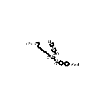 CCCCC/C=C\C/C=C\CCCCCCCC(=O)OCC(COC(=O)C1CCC(C2CCC(CCCCC)CC2)CC1)COC(=O)C1CCN(C2CCN(CC)CC2)CC1